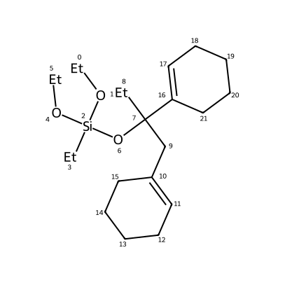 CCO[Si](CC)(OCC)OC(CC)(CC1=CCCCC1)C1=CCCCC1